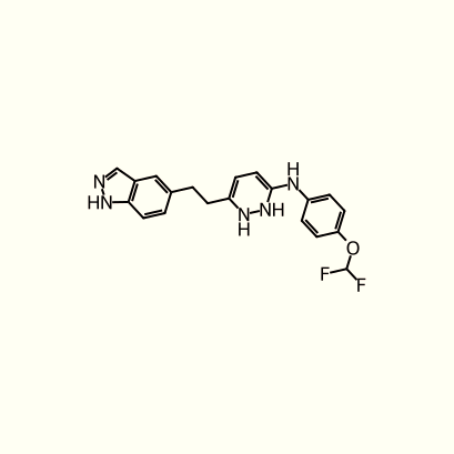 FC(F)Oc1ccc(NC2=CC=C(CCc3ccc4[nH]ncc4c3)NN2)cc1